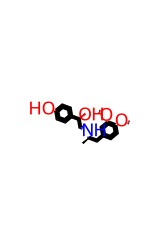 COc1ccc(C[C@@H](C)NC[C@H](O)c2ccc(O)cc2)cc1OC